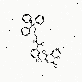 O=C(NCCC[PH](c1ccccc1)(c1ccccc1)c1ccccc1)c1cccc(NC2=CC(=O)c3ncncc3C2=O)c1